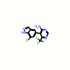 Nc1ncnc(C(F)(F)F)c1-c1cc(Cl)c2[nH]ncc2c1